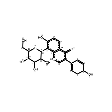 O=c1c(C2=CCC(O)C=C2)coc2c([C@@H]3OC(CO)[C@H](O)C(O)C3O)c(O)ccc12